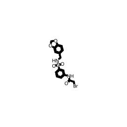 O=C(CBr)Nc1cccc(S(=O)(=O)NCc2ccc3c(c2)OCO3)c1